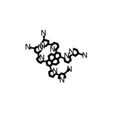 N#Cc1cncc(-c2cccc(-c3cc(-c4cccc(-c5cncc(C#N)c5)n4)c4ccc5c(-c6cccc(-c7cc(C#N)ccn7)n6)cc(-c6cccc(-c7cncc(C#N)c7)n6)c6ccc3c4c65)n2)c1